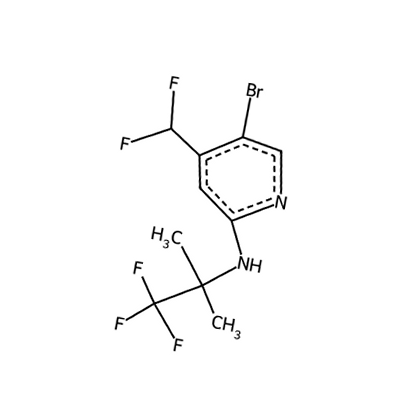 CC(C)(Nc1cc(C(F)F)c(Br)cn1)C(F)(F)F